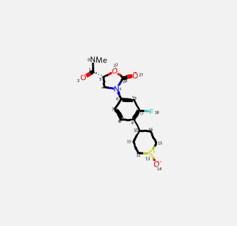 CNC(=O)[C@H]1CN(c2ccc(C3CC[S+]([O-])CC3)c(F)c2)C(=O)O1